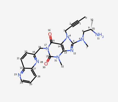 CC#CCn1c(N(C)C[C@H](C)N)nc2c1c(=O)n(Cc1ccc3ncccc3n1)c(=O)n2C